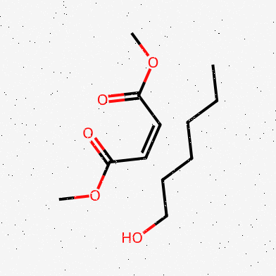 CCCCCCO.COC(=O)/C=C\C(=O)OC